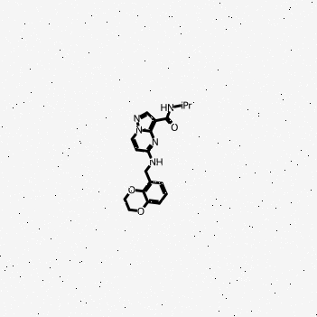 CC(C)NC(=O)c1cnn2ccc(NCc3cccc4c3OCCO4)nc12